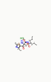 CCCC(CCC)S(=O)(=O)CC(N)(C(N)=O)C(=O)c1sc(C)nc1C.Cl